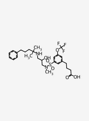 CN(CC(O)CNC(C)(C)CCCc1ccccc1)S(=O)(=O)c1cc(CCCC(=O)O)cc(OC(F)(F)F)c1